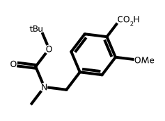 COc1cc(CN(C)C(=O)OC(C)(C)C)ccc1C(=O)O